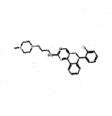 CN1CCN(CCCNc2ncc3c(n2)-c2ccccc2C(c2ccccc2Cl)C3)CC1